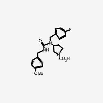 CC(C)COc1ccc(CNC(=O)N(Cc2ccc(F)cc2)[C@H]2CCN(C(=O)O)C2)cc1